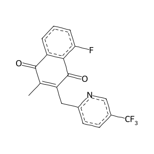 CC1=C(Cc2ccc(C(F)(F)F)cn2)C(=O)c2c(F)cccc2C1=O